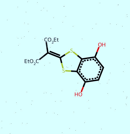 CCOC(=O)C(C(=O)OCC)=C1Sc2c(O)ccc(O)c2S1